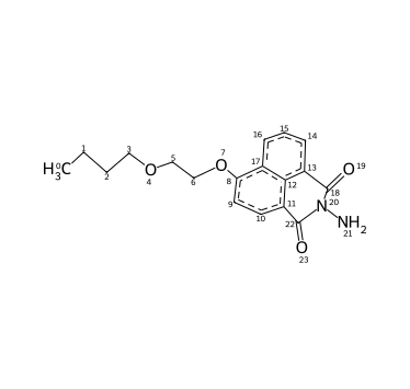 CCCCOCCOc1ccc2c3c(cccc13)C(=O)N(N)C2=O